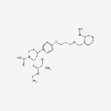 CCOC(=O)[C@@H](C)O[C@@H]1CN(C(=O)O)CCC1c1ccc(OCCCOCc2ccccc2OC)cc1